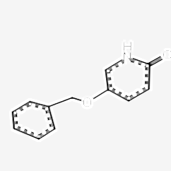 O=c1ccc(OCc2ccccc2)c[nH]1